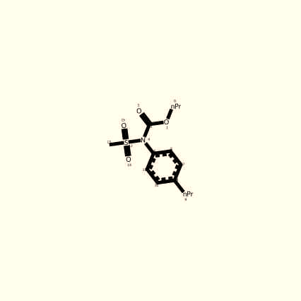 CCCOC(=O)N(c1ccc(CCC)cc1)S(C)(=O)=O